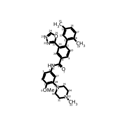 COc1ccc(NC(=O)c2ccc(-c3cc(C)ccc3C)c(-c3nnco3)c2)cc1N1CCN(C)CC1